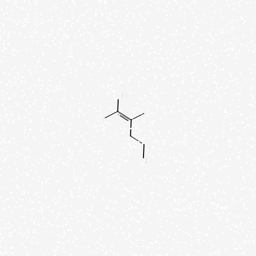 CCCCC/C(I)=C(/O)I